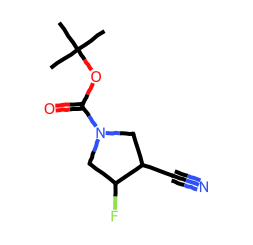 CC(C)(C)OC(=O)N1CC(F)C(C#N)C1